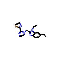 CCc1ccc2nc(Cn3ccnc3-c3nccs3)n(CC)c2c1